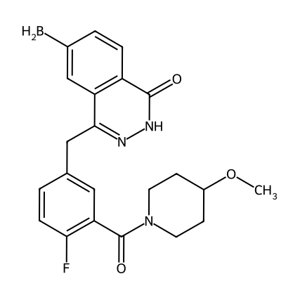 Bc1ccc2c(=O)[nH]nc(Cc3ccc(F)c(C(=O)N4CCC(OC)CC4)c3)c2c1